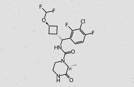 C[C@@H]1C(=O)NCCN1C(=O)NC(c1ccc(F)c(Cl)c1F)[C@H]1C[C@H](OC(F)F)C1